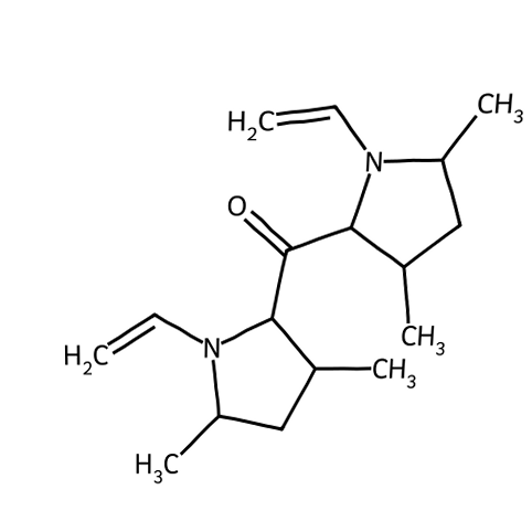 C=CN1C(C)CC(C)C1C(=O)C1C(C)CC(C)N1C=C